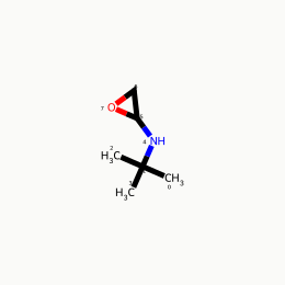 CC(C)(C)NC1CO1